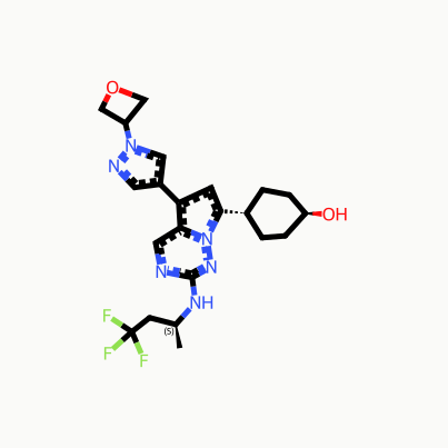 C[C@@H](CC(F)(F)F)Nc1ncc2c(-c3cnn(C4COC4)c3)cc([C@H]3CC[C@H](O)CC3)n2n1